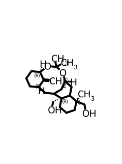 C=C1[C@H]2CCC[C@H]1OC(C)(C)O[C@H]1CC(C2)[C@]2(CO)CCC[C@@](C)(CO)C2C1